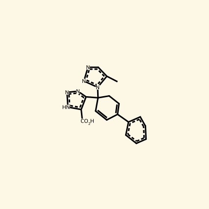 Cc1cnnn1C1(c2nn[nH]c2C(=O)O)C=CC(c2ccccc2)=CC1